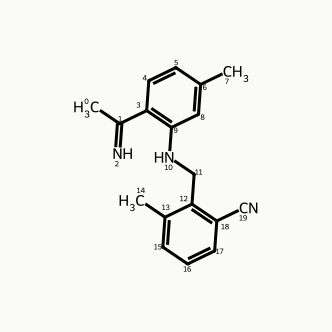 CC(=N)c1ccc(C)cc1NCc1c(C)cccc1C#N